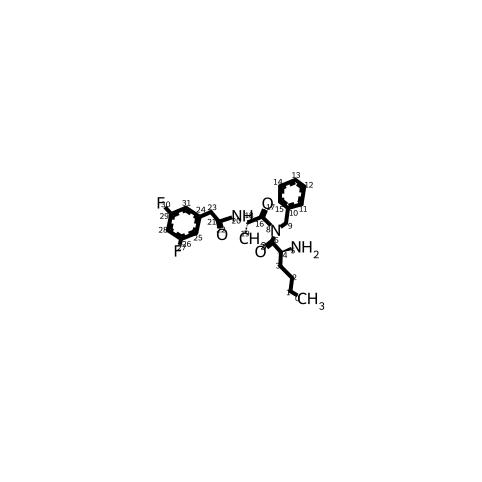 CCCC[C@H](N)C(=O)N(Cc1ccccc1)C(=O)[C@H](C)NC(=O)Cc1cc(F)cc(F)c1